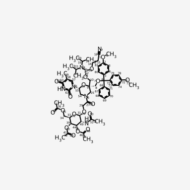 COc1ccc(C(OC[C@]2(COP(OCCC#N)N(C(C)C)C(C)C)CN(C(=O)CO[C@@H]3O[C@H](COC(C)=O)[C@H](OC(C)=O)[C@H](OC(C)=O)[C@H]3NC(C)=O)C[C@H](n3cc(C)c(=O)[nH]c3=O)O2)(c2ccccc2)c2ccc(OC)cc2)cc1